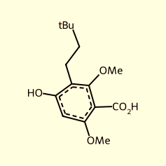 COc1cc(O)c(CCC(C)(C)C)c(OC)c1C(=O)O